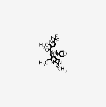 CCc1nc2c(cnn2CC)c(NC2CCOCC2)c1CNC(=O)c1ccc(C(F)(F)F)nc1C